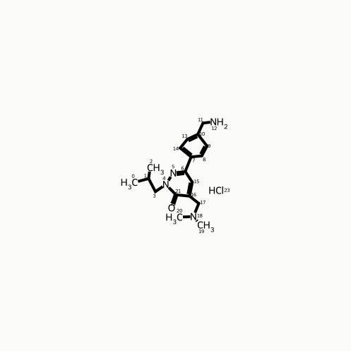 CC(C)Cn1nc(-c2ccc(CN)cc2)cc(CN(C)C)c1=O.Cl